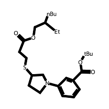 CCCCC(CC)COC(=O)CCSC1CCN(c2cccc(C(=O)OC(C)(C)C)c2)C1